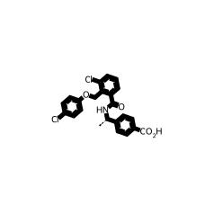 C[C@H](NC(=O)c1cccc(Cl)c1COc1ccc(Cl)cc1)c1ccc(C(=O)O)cc1